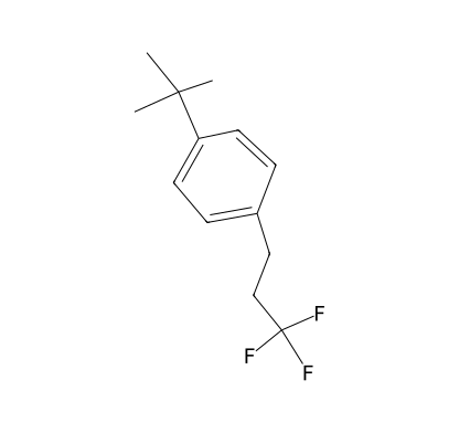 CC(C)(C)c1ccc(CCC(F)(F)F)cc1